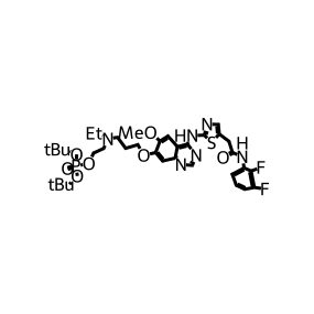 CCN(CCCOc1cc2ncnc(Nc3ncc(CC(=O)Nc4cccc(F)c4F)s3)c2cc1OC)CCOP(=O)(OC(C)(C)C)OC(C)(C)C